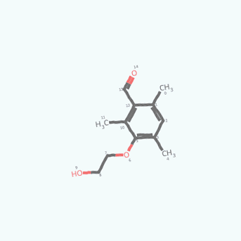 Cc1cc(C)c(OCCO)c(C)c1C=O